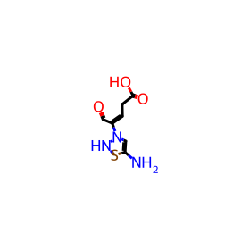 NC1=CN(C(C=O)=CCC(=O)O)NS1